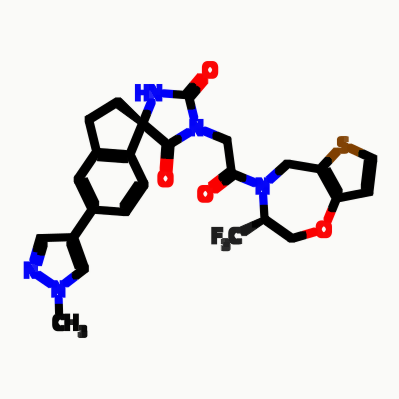 Cn1cc(-c2ccc3c(c2)CC[C@]32NC(=O)N(CC(=O)N3Cc4sccc4OC[C@H]3C(F)(F)F)C2=O)cn1